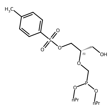 CCCOP(CO[C@@H](CO)COS(=O)(=O)c1ccc(C)cc1)OCCC